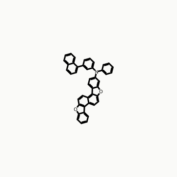 c1ccc(N(c2cccc(-c3cccc4ccccc34)c2)c2ccc3c(c2)oc2ccc4c(ccc5oc6ccccc6c54)c23)cc1